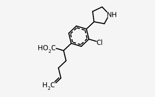 C=CCCC(C(=O)O)c1ccc(C2CCNC2)c(Cl)c1